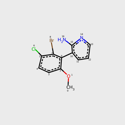 COc1ccc(Cl)c(Br)c1-c1cccnc1N